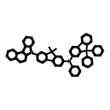 CC1(C)c2cc(N(c3ccccc3)c3ccc4c(c3)C(c3ccccc3)(c3ccccc3)c3ccccc3-4)ccc2-c2ccc(-n3c4ccccc4c4c5ccccc5ccc43)cc21